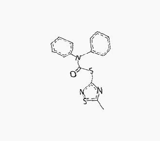 Cc1nc(SC(=O)N(c2ccccc2)c2ccccc2)ns1